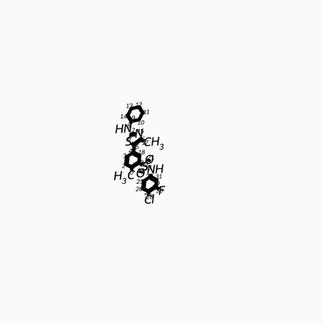 Cc1ccc(-c2sc(NC3CCCCC3)nc2C)cc1S(=O)(=O)Nc1ccc(Cl)c(F)c1